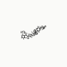 O=C([C@H](CO)c1ccccc1)N1CC2=C(C1)CN(S(=O)(=O)c1ccc(OC(F)F)cc1)C2